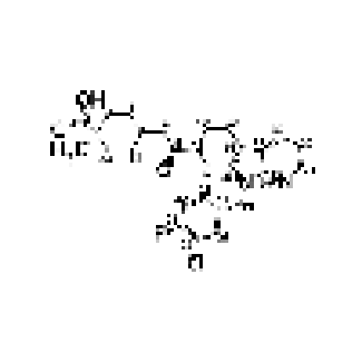 C[C@]1(C(=O)O)CC[C@@H](CC(=O)N2CCc3c(n(Cc4ccc(F)c(Cl)c4)c4ncccc34)C2)CC1